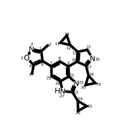 Cc1noc(C)c1-c1cc(C2=C(C3CC3)CN=C2C2CC2)c2nc(C3CC3)[nH]c2c1